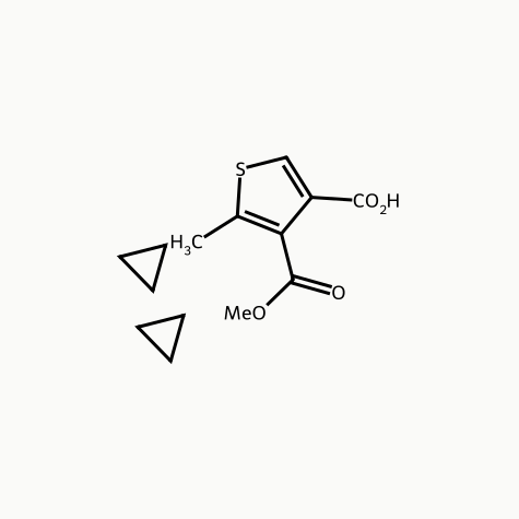 C1CC1.C1CC1.COC(=O)c1c(C(=O)O)csc1C